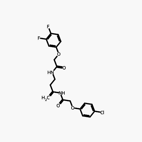 C=C(CCNC(=O)COc1ccc(F)c(F)c1)NC(=O)COc1ccc(Cl)cc1